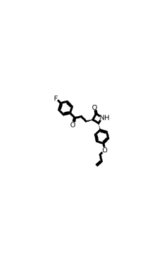 C=CCOc1ccc([C@H]2NC(=O)[C@@H]2CCC(=O)c2ccc(F)cc2)cc1